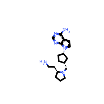 NCC[C@@H]1CCCN1C[C@@H]1CC[C@H](n2ccc3c(N)ncnc32)C1